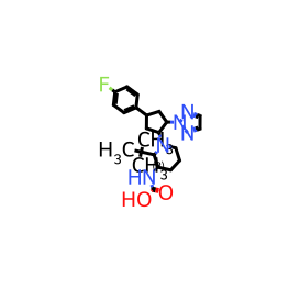 CC(C)(C)C1[C@H](NC(=O)O)CCCN1C1CC(c2ccc(F)cc2)CC1n1nccn1